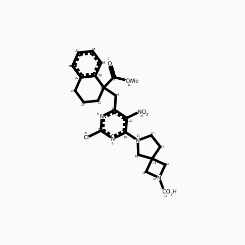 COC(=O)C1(Cc2nc(Cl)nc(N3CCC4(CN(C(=O)O)C4)C3)c2[N+](=O)[O-])CCCc2ccccc21